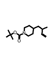 C=CC(C)CC1CCN(C(=O)OC(C)(C)C)CC1